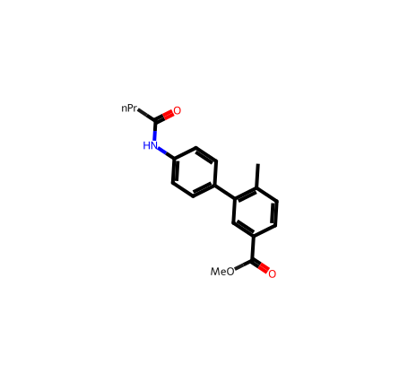 CCCC(=O)Nc1ccc(-c2cc(C(=O)OC)ccc2C)cc1